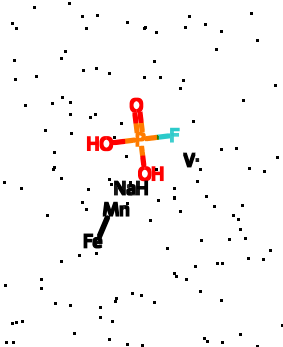 O=P(O)(O)F.[Mn][Fe].[NaH].[V]